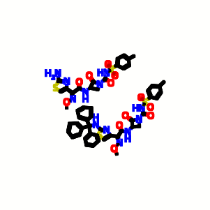 CON=C(C(=O)NC1CN(C(=O)NS(=O)(=O)c2ccc(C)cc2)C1=O)c1csc(NC(c2ccccc2)(c2ccccc2)c2ccccc2)n1.CON=C(C(=O)N[C@H]1CN(C(=O)NS(=O)(=O)c2ccc(C)cc2)C1=O)c1csc(N)n1